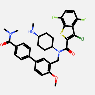 CN[C@H]1CC[C@@H](N(Cc2cc(-c3ccc(C(=O)N(C)C)cc3)ccc2OC)C(=O)c2sc3c(F)ccc(F)c3c2Cl)CC1